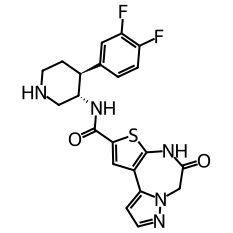 O=C1Cn2nccc2-c2cc(C(=O)N[C@@H]3CNCC[C@H]3c3ccc(F)c(F)c3)sc2N1